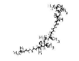 CNCCCCCCCCNC(=O)CN(C)CC(C)CC(C)OCCCCCCCCNC(=O)CN(C)CC(C)C